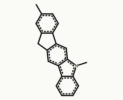 Cc1ccc2c(c1)Cc1cc3c4ccccc4n(C)c3cc1-2